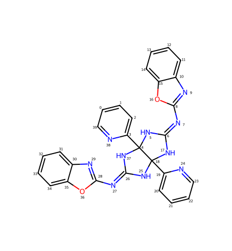 c1ccc(C23NC(=Nc4nc5ccccc5o4)NC2(c2ccccn2)NC(=Nc2nc4ccccc4o2)N3)nc1